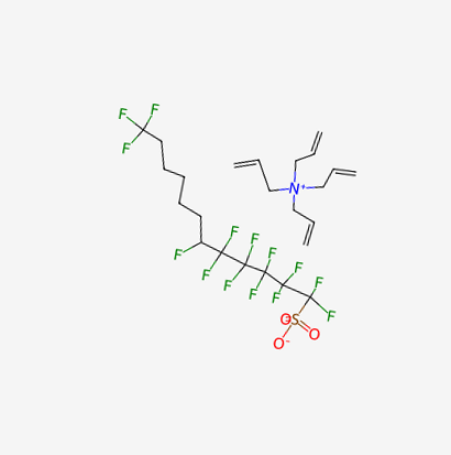 C=CC[N+](CC=C)(CC=C)CC=C.O=S(=O)([O-])C(F)(F)C(F)(F)C(F)(F)C(F)(F)C(F)(F)C(F)CCCCCC(F)(F)F